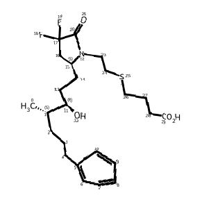 C[C@@H](CCCc1ccccc1)[C@H](O)CC[C@H]1CC(F)(F)C(=O)N1CCSCCCC(=O)O